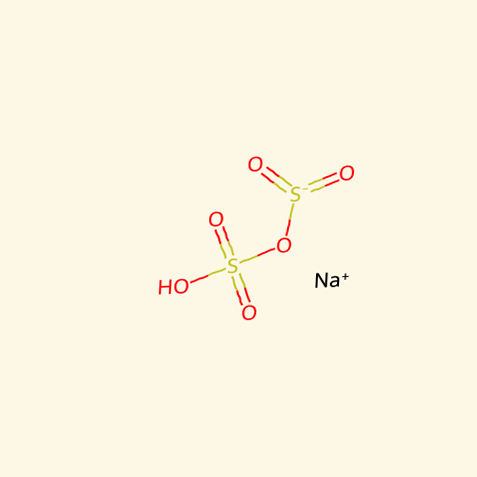 O=[S-](=O)OS(=O)(=O)O.[Na+]